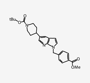 COC(=O)c1ccc(Cn2ccc3cc(C4CCN(C(=O)OC(C)(C)C)CC4)cnc32)cc1